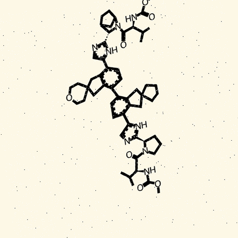 COC(=O)N[C@H](C(=O)N1CCC[C@@H]1c1ncc(-c2ccc(-c3ccc(-c4cnc([C@@H]5C6CCC(C6)N5C(=O)[C@@H](NC(=O)OC)C(C)C)[nH]4)c4c3CC3(CCOCC3)C4)c3c2CC2(CCCC2)C3)[nH]1)C(C)C